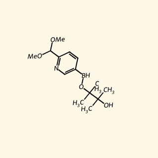 COC(OC)c1ccc(BOC(C)(C)C(C)(C)O)cn1